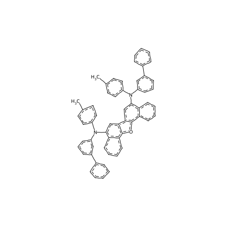 Cc1ccc(N(c2cccc(-c3ccccc3)c2)c2cc3c4cc(N(c5ccc(C)cc5)c5cccc(-c6ccccc6)c5)c5ccccc5c4oc3c3ccccc23)cc1